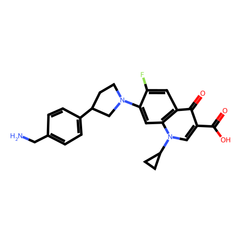 NCc1ccc(C2CCN(c3cc4c(cc3F)c(=O)c(C(=O)O)cn4C3CC3)C2)cc1